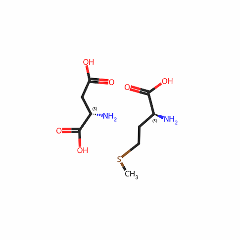 CSCC[C@H](N)C(=O)O.N[C@@H](CC(=O)O)C(=O)O